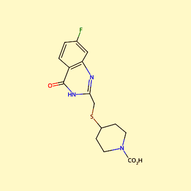 O=C(O)N1CCC(SCc2nc3cc(F)ccc3c(=O)[nH]2)CC1